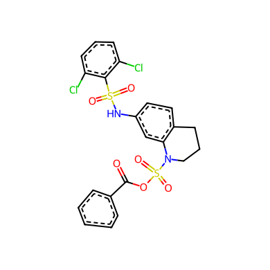 O=C(OS(=O)(=O)N1CCCc2ccc(NS(=O)(=O)c3c(Cl)cccc3Cl)cc21)c1ccccc1